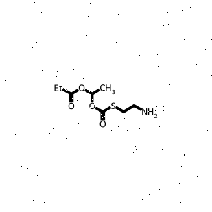 CCC(=O)OC(C)OC(=O)SCCN